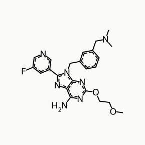 COCCOc1nc(N)c2nc(-c3cncc(F)c3)n(Cc3cccc(CN(C)C)c3)c2n1